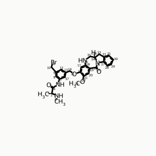 CN[C@@H](C)C(=O)Nc1cc(CBr)cc(COc2cc3c(cc2OC)C(=O)N2c4ccccc4C[C@H]2CN3)c1